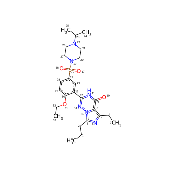 CCCc1nc(CC)c2c(=O)[nH]c(-c3cc(S(=O)(=O)N4CCN(C(C)C)CC4)ccc3OCC)nn12